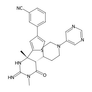 CN1C(=N)N[C@](C)(c2cc(-c3cccc(C#N)c3)cs2)[C@H](C2CCN(c3cncnc3)CC2)C1=O